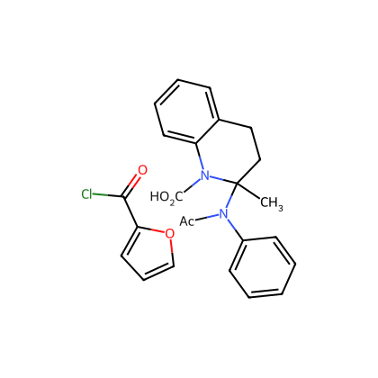 CC(=O)N(c1ccccc1)C1(C)CCc2ccccc2N1C(=O)O.O=C(Cl)c1ccco1